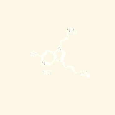 CCCCc1cn(CCN)c2cc(Br)ncc12.Cl